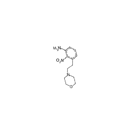 Nc1cccc(CCN2CCOCC2)c1[N+](=O)[O-]